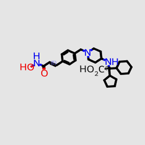 O=C(/C=C/c1ccc(CN2CCC(N[C@](C(=O)O)(C3CCCCC3)C3CCCC3)CC2)cc1)NO